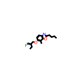 CCCCc1nc2ccc(OC/C(=C/F)CC)c(C)c2o1